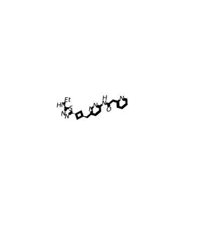 CCNc1nnc([C@H]2C[C@H](Cc3ccc(NC(=O)Cc4ccccn4)nn3)C2)s1